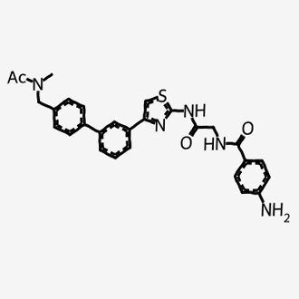 CC(=O)N(C)Cc1ccc(-c2cccc(-c3csc(NC(=O)CNC(=O)c4ccc(N)cc4)n3)c2)cc1